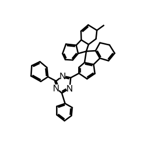 CC1C=CC2c3ccccc3C3(C4=C(C=CCC4)c4ccc(-c5nc(-c6ccccc6)nc(-c6ccccc6)n5)cc43)C2C1